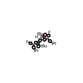 CC(C)c1ccc(N(c2ccc(F)cc2)c2ccc(-c3ccc4c5ccc(N(c6ccc(F)cc6)c6ccc(C(C)C)cc6)c6c7cccc(C(C)(C)C)c7n(c4c3)c56)c3c2c2cccc(C(C)(C)C)c2n3C)cc1